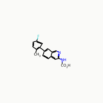 Cc1ccc(F)cc1-c1ccc2cc(NC(=O)O)ncc2c1